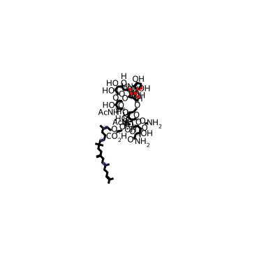 C=C(C/C=C(\C)CCC=C(C)C)CCC(C)(C)/C=C/CC/C(C)=C\CO[C@H](COP(=O)(O)O[C@H]1OC(C(N)=O)[C@@](C)(O)[C@H](OC(N)=O)C1O[C@@H]1OC2CO[C@@H]3OC(CO)[C@@H](O)C(OC4O[C@@H](O[C@H]2C(O)[C@@H]1NC(C)=O)[C@@H](NC(C)=O)C(O)[C@@H]4O[C@@H]1OC(C(=O)NC2=C(O)CCC2=O)[C@H](O)C(O)[C@@H]1O)[C@@H]3O)C(=O)O